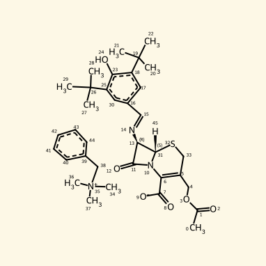 CC(=O)OCC1=C(C(=O)[O-])N2C(=O)[C@@H](N=Cc3cc(C(C)(C)C)c(O)c(C(C)(C)C)c3)[C@@H]2SC1.C[N+](C)(C)Cc1ccccc1